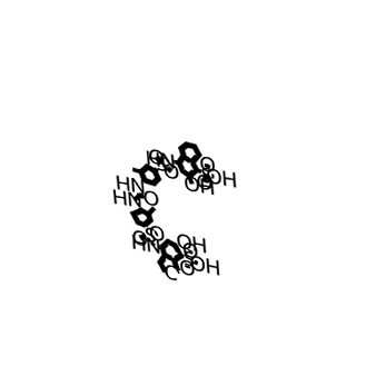 Cc1cc(S(=O)(=O)Nc2cc(O)c(S(=O)(=O)O)c3ccccc23)ccc1NC(=O)Nc1ccc(S(=O)(=O)Nc2cc(O)c(S(=O)(=O)O)c3ccccc23)cc1C